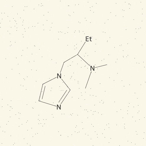 [CH2]CC(Cn1ccnc1)N(C)C